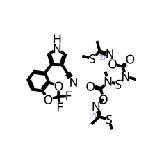 CS/C(C)=N\OC(=O)N(C)SN(C)C(=O)O/N=C(/C)SC.N#Cc1c[nH]cc1-c1cccc2c1OC(F)(F)O2